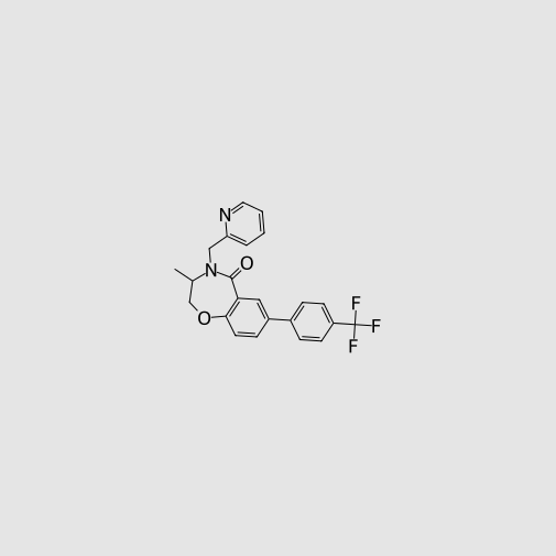 CC1COc2ccc(-c3ccc(C(F)(F)F)cc3)cc2C(=O)N1Cc1ccccn1